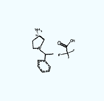 CC(c1ccccc1)N1CC[C@H](N)C1.O=C(O)C(F)(F)F